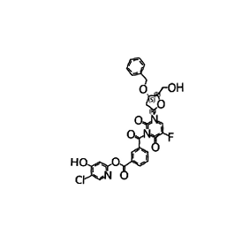 O=C(Oc1cc(O)c(Cl)cn1)c1cccc(C(=O)n2c(=O)c(F)cn([C@H]3C[C@H](OCc4ccccc4)[C@@H](CO)O3)c2=O)c1